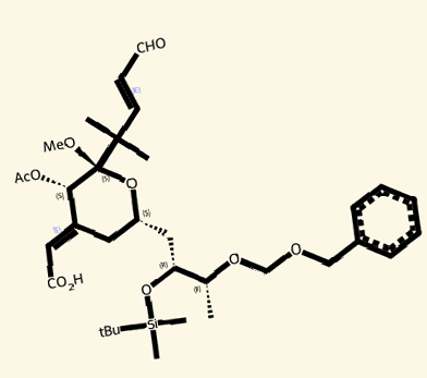 CO[C@@]1(C(C)(C)/C=C/C=O)O[C@H](C[C@@H](O[Si](C)(C)C(C)(C)C)[C@@H](C)OCOCc2ccccc2)C/C(=C\C(=O)O)[C@@H]1OC(C)=O